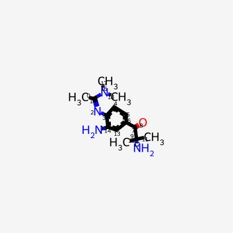 CC(=Nc1ccc(C(=O)C(C)(C)N)cc1N)N(C)C